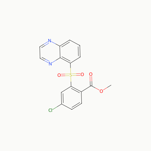 COC(=O)c1ccc(Cl)cc1S(=O)(=O)c1cccc2nccnc12